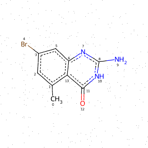 Cc1cc(Br)cc2nc(N)[nH]c(=O)c12